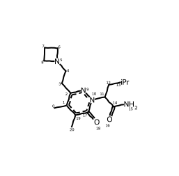 Cc1c(CCN2CCC2)nn(C(CC(C)C)C(N)=O)c(=O)c1C